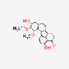 CCOC1C(O)=CC2=C(C3C(=C4CCC(=O)c5c(O)ccc3c54)C=C2)C1OC